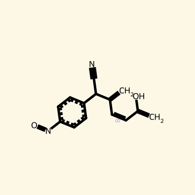 C=C(O)/C=C\C(=C)C(C#N)c1ccc(N=O)cc1